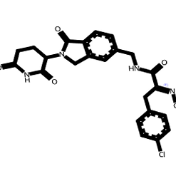 O=C1CCC(N2Cc3cc(CNC(=O)/C(Cc4ccc(Cl)cc4)=N/O)ccc3C2=O)C(=O)N1